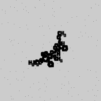 CCCCC1(CC)CN(c2ccccc2)c2cc(SC)c(OCC(=O)NC(C(=O)NCCOCC)c3ccccc3)cc2S(=O)(=O)C1